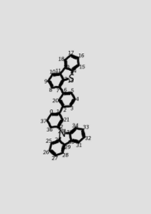 C1=C(c2cccc(-c3cccc4c3sc3ccccc34)c2)C=C(n2c3ccccc3c3ccccc32)CC1